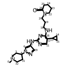 CN1CCC(n2cc(Nc3ncc(C4CC4)c(NCCCN4CCCCC4=O)n3)cn2)CC1